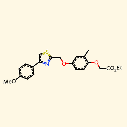 CCOC(=O)COc1ccc(OCc2nc(-c3ccc(OC)cc3)cs2)cc1C